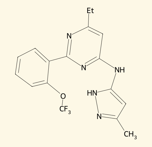 CCc1cc(Nc2cc(C)n[nH]2)nc(-c2ccccc2OC(F)(F)F)n1